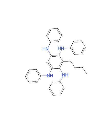 CCCCc1c(Nc2ccccc2)c(Nc2ccccc2)[c]c(Nc2ccccc2)c1Nc1ccccc1